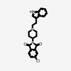 O=C1c2ccc(Cl)cc2C(=O)N1C1CCN(CCc2c[nH]c3ccccc23)CC1